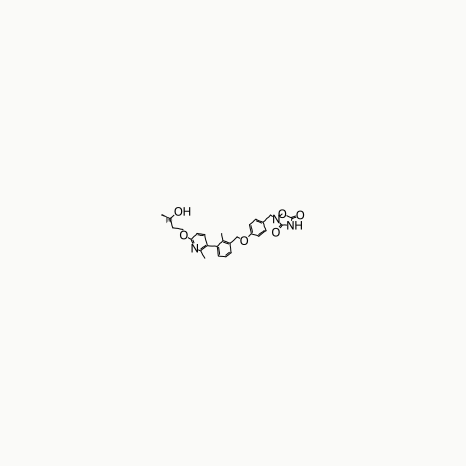 Cc1nc(OCC[C@@H](C)O)ccc1-c1cccc(COc2ccc(Cn3oc(=O)[nH]c3=O)cc2)c1C